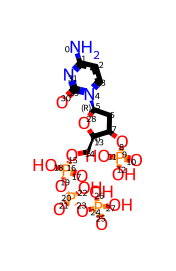 Nc1ccn([C@H]2CC(OP(=O)(O)O)[C@@H](COP(=O)(O)OP(=O)(O)OP(=O)(O)O)O2)c(=O)n1